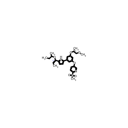 C/C=C(/OC(C)CC)c1ccc(-c2cc(Oc3ccc(S(C)(=O)=O)nc3)cc(O[C@@H](C)COC)c2)[nH]1